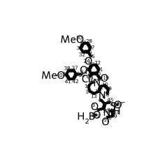 BOC(=O)C1=C(C[n+]2cccc3c2CCCCN3C(=O)c2ccc(OCc3ccc(OC)cc3)c(OCc3ccc(OC)cc3)c2Cl)C[S+]([O-])[C@@H]2CC(=O)N12